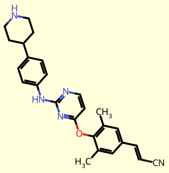 Cc1cc(/C=C/C#N)cc(C)c1Oc1ccnc(Nc2ccc(C3CCNCC3)cc2)n1